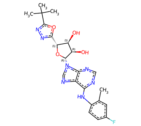 Cc1cc(F)ccc1Nc1ncnc2c1ncn2[C@@H]1O[C@H](c2nnc(C(C)(C)C)o2)[C@@H](O)[C@H]1O